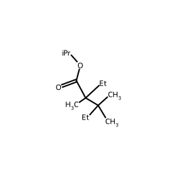 CCC(C)(C)C(C)(CC)C(=O)OC(C)C